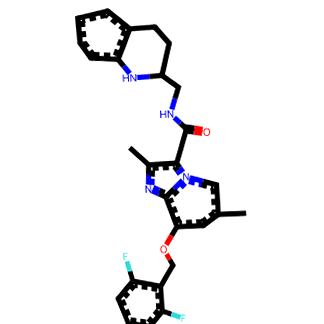 Cc1cc(OCc2c(F)cccc2F)c2nc(C)c(C(=O)NCC3CCc4ccccc4N3)n2c1